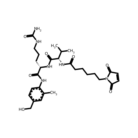 Cc1cc(CO)ccc1NC(=O)[C@H](CCCNC(N)=O)NC(=O)[C@@H](NC(=O)CCCCCN1C(=O)C=CC1=O)C(C)C